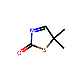 CC1(C)C=NC(=O)S1